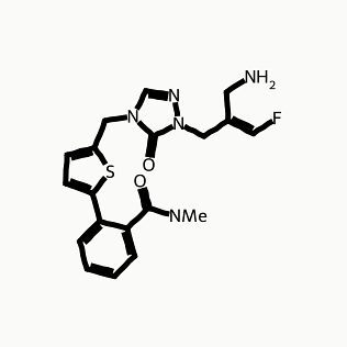 CNC(=O)c1ccccc1-c1ccc(Cn2cnn(C/C(=C/F)CN)c2=O)s1